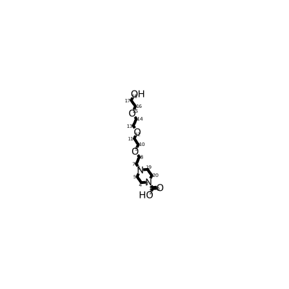 O=C(O)N1CCN(CCOCCOCCOCCO)CC1